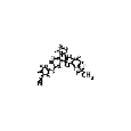 CC(F)(F)c1ccc(CN2C(=O)C3=C(CCC(Cc4cccc(C#N)c4)C3)N3CCN=C23)cc1